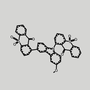 COc1ccc2c(c1)c1cc(-c3cccc4c3C(=O)c3ccccc3S4(=O)=O)ccc1n2-c1cccc2c1C(=O)c1ccccc1S2(=O)=O